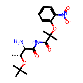 C[C@@H](OC(C)(C)C)[C@H](N)C(=O)NC(=O)C(C)(C)Oc1ccccc1[N+](=O)[O-]